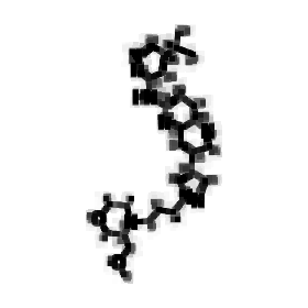 COCC1COCCN1CCCn1cc(-c2cnc3ccc(Nc4cc(C(C)C)cnn4)nc3c2)cn1